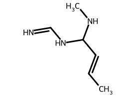 C/C=C/C(NC)NC=N